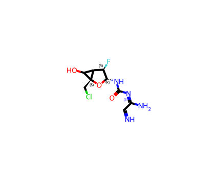 N=C/C(N)=N\C(=O)N[C@@H]1O[C@]2(CCl)C(O)C2[C@H]1F